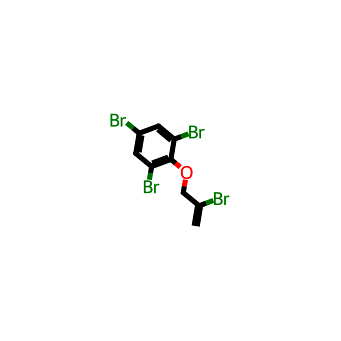 C=C(Br)COc1c(Br)cc(Br)cc1Br